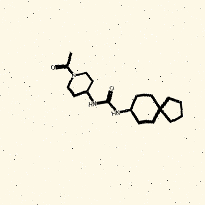 CC(=O)N1CCC(NC(=O)NC2CCC3(CCCC3)CC2)CC1